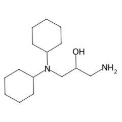 NCC(O)CN(C1CCCCC1)C1CCCCC1